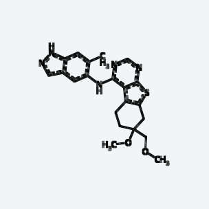 COCC1(OC)CCc2c(sc3ncnc(Nc4cc5cn[nH]c5cc4C)c23)C1